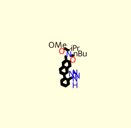 CCCCC(=O)N(Cc1ccc2cc(-c3ccccc3-c3nnn[nH]3)ccc2c1)[C@H](C(=O)OC)C(C)C